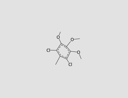 COc1c(Cl)c(C)c(Cl)c(OC)c1OC